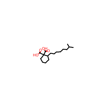 CC(C)CCCCCCC1CCCCC1(C(=O)O)C(=O)O